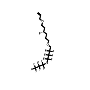 C=CCOCC[C@@H](F)CCCOCC(F)(F)C(F)(F)C(F)(F)OC(F)(F)C(F)(F)C(F)(F)F